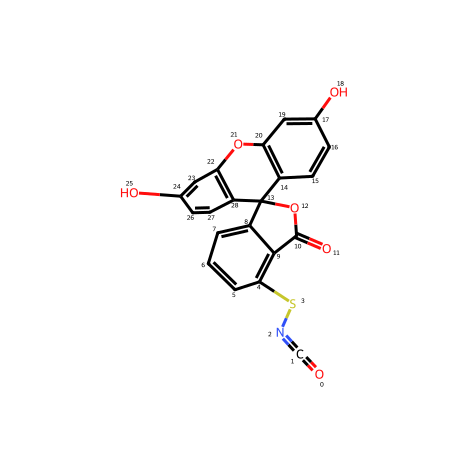 O=C=NSc1cccc2c1C(=O)OC21c2ccc(O)cc2Oc2cc(O)ccc21